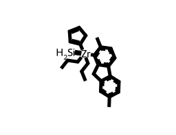 CC[CH2][Zr](=[SiH2])([CH2]CC)([C]1=CC=CC1)[c]1c(C)ccc2c1Cc1cc(C)ccc1-2